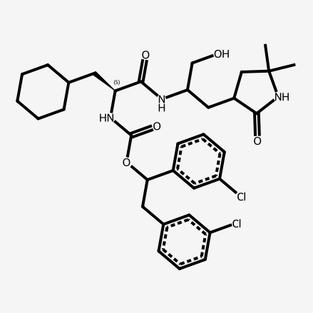 CC1(C)CC(CC(CO)NC(=O)[C@H](CC2CCCCC2)NC(=O)OC(Cc2cccc(Cl)c2)c2cccc(Cl)c2)C(=O)N1